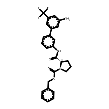 Nc1cc(-c2cccc(NC(=O)[C@@H]3CCCN3C(=O)OCc3ccccc3)c2)cc(C(F)(F)F)c1